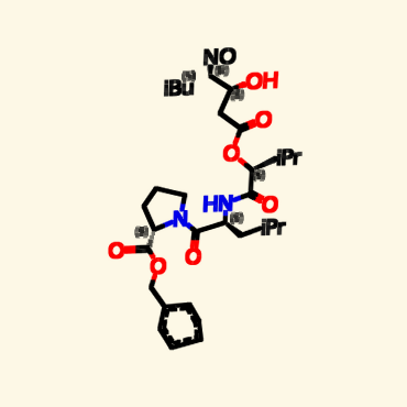 CC[C@H](C)[C@@H](N=O)[C@@H](O)CC(=O)O[C@H](C(=O)N[C@@H](CC(C)C)C(=O)N1CCC[C@H]1C(=O)OCc1ccccc1)C(C)C